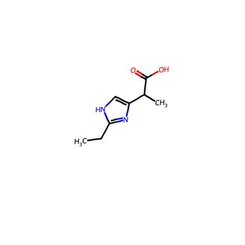 CCc1nc(C(C)C(=O)O)c[nH]1